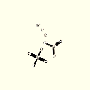 O=S(=O)([O-])[O-].O=[N+]([O-])[O-].[K+].[K+].[K+]